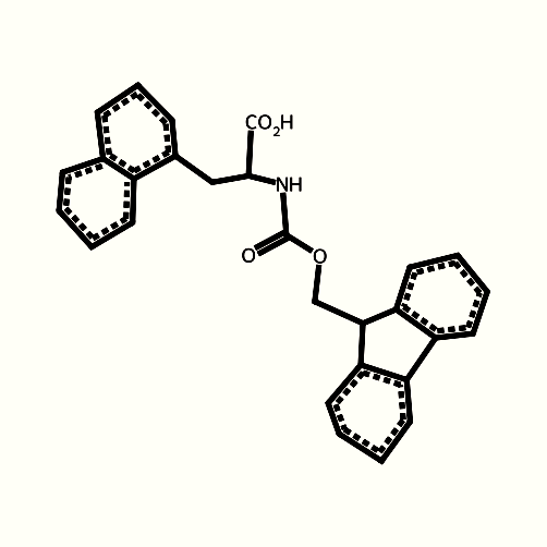 O=C(NC(Cc1cccc2ccccc12)C(=O)O)OCC1c2ccccc2-c2ccccc21